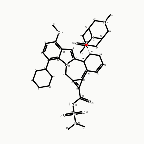 COc1ccc(C2CCCCC2)c2c1cc1n2CC2=C(C(=O)NS(=O)(=O)N(C)C)C2=C2C=CC[C@@H](C(=O)N3C4CN(C)CC3CN(C)C4)C21